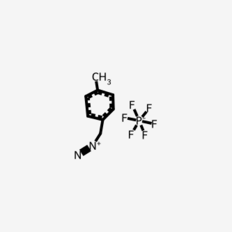 Cc1ccc(C[N+]#N)cc1.F[P-](F)(F)(F)(F)F